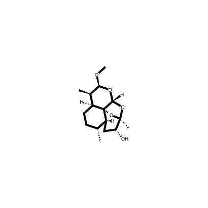 CO[C@H]1O[C@@H]2O[C@]3(C)O[C@]24[C@@H](CC[C@@H](C)[C@@H]4C[C@H]3O)[C@H]1C